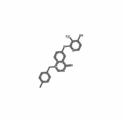 Cc1ccc(Cn2cnc(=O)c3cc(Oc4nccc(O)c4C(F)(F)F)ccc32)cc1